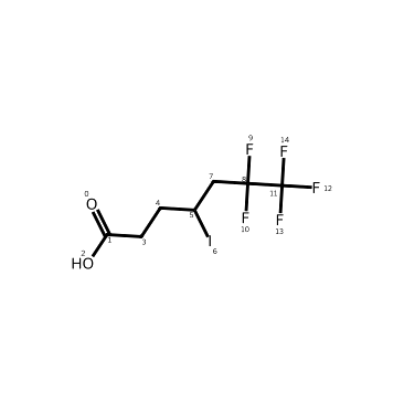 O=C(O)CCC(I)CC(F)(F)C(F)(F)F